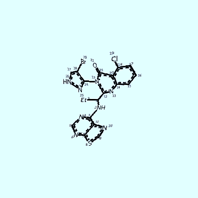 CCC(Nc1ncnc2scnc12)c1nc2cccc(Cl)c2c(=O)n1-c1n[nH]cc1Br